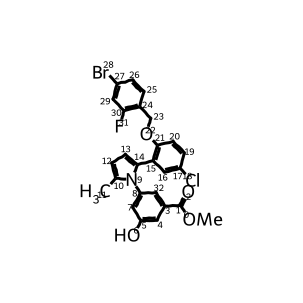 COC(=O)c1cc(O)cc(-n2c(C)ccc2-c2cc(Cl)ccc2OCc2ccc(Br)cc2F)c1